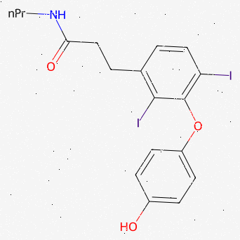 CCCNC(=O)CCc1ccc(I)c(Oc2ccc(O)cc2)c1I